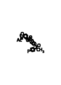 CC(=O)N1CCOc2ccc(S(=O)(=O)N3CC4=C(CN(C(=O)C(C)c5ccc(F)cc5)C4)C3)cc21